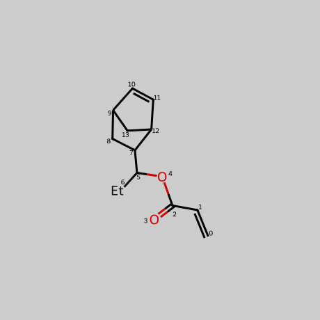 C=CC(=O)OC(CC)C1CC2C=CC1C2